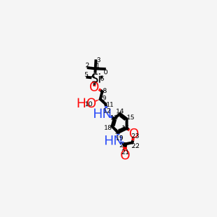 CC(C)(C)[Si](C)(C)OC[C@@H](O)CNc1ccc2c(c1)NC(=O)CO2